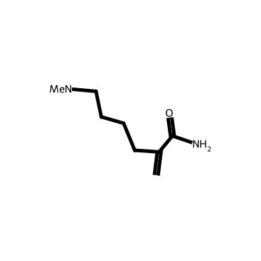 C=C(CCCCNC)C(N)=O